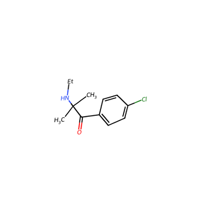 CCNC(C)(C)C(=O)c1ccc(Cl)cc1